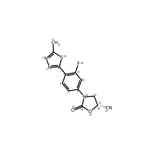 Cc1nnc(-c2ccc(N3C[C@H](C#N)OC3=O)cc2F)s1